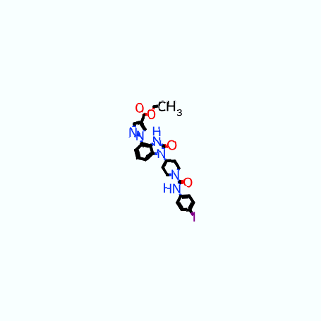 CCOC(=O)c1cnn(-c2cccc3c2[nH]c(=O)n3C2CCN(C(=O)Nc3ccc(I)cc3)CC2)c1